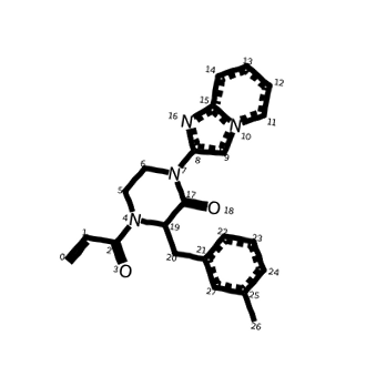 C=CC(=O)N1CCN(c2cn3ccccc3n2)C(=O)C1Cc1cccc(C)c1